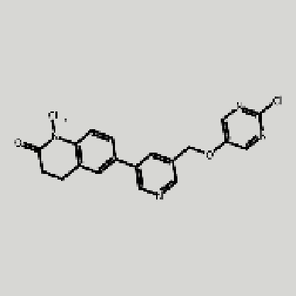 CN1C(=O)CCc2cc(-c3cncc(COc4cnc(Cl)nc4)c3)ccc21